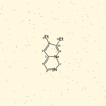 CCC1=CC2=CC=NCN2C=C1CC